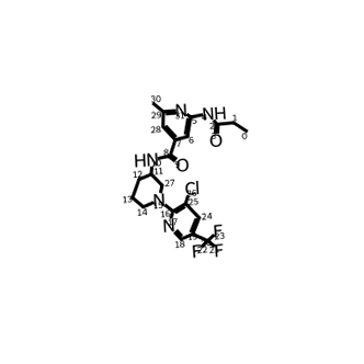 CCC(=O)Nc1cc(C(=O)NC2CCCN(c3ncc(C(F)(F)F)cc3Cl)C2)cc(C)n1